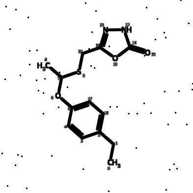 CCc1ccc(OC(C)SCc2n[nH]c(=O)o2)cc1